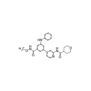 CONC(=O)c1cc(Nc2ccccc2)cc(-c2ccnc(NC(=O)C3CCOCC3)c2)c1